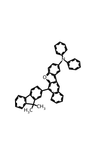 CC1(C)c2ccccc2-c2ccc(-c3c4ccccc4cc4c3oc3ccc(N(c5ccccc5)c5ccccc5)cc34)cc21